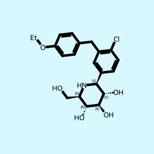 CCOc1ccc(Cc2cc([C@@H]3N[C@H](CO)[C@@H](O)[C@H](O)[C@H]3O)ccc2Cl)cc1